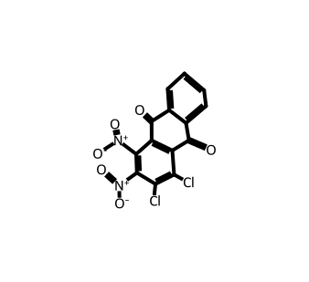 O=C1c2ccccc2C(=O)c2c1c(Cl)c(Cl)c([N+](=O)[O-])c2[N+](=O)[O-]